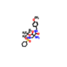 COc1ccc(CNC(=O)[C@@](N)(CNS(=O)(=O)C2CCCCC2)C(=O)OC(C)(C)C)cc1